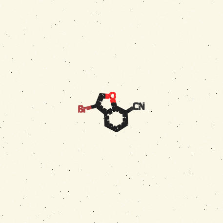 N#Cc1cccc2c(Br)coc12